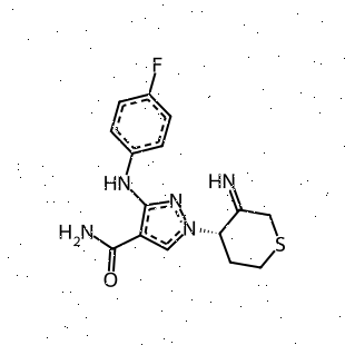 N=C1CSCC[C@@H]1n1cc(C(N)=O)c(Nc2ccc(F)cc2)n1